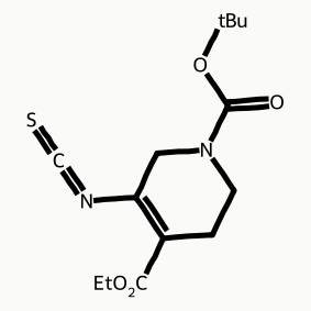 CCOC(=O)C1=C(N=C=S)CN(C(=O)OC(C)(C)C)CC1